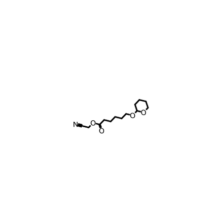 N#CCOC(=O)CCCCCOC1CCCCO1